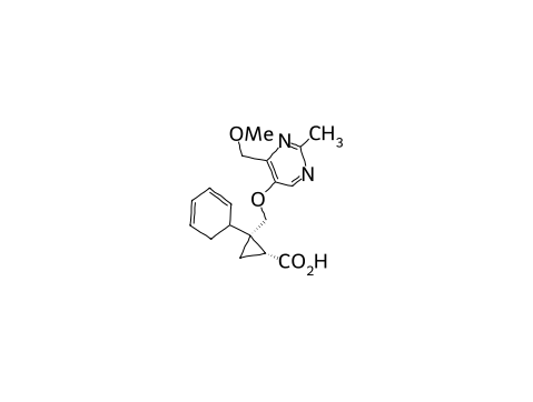 COCc1nc(C)ncc1OC[C@@]1(C2C=CC=CC2)C[C@H]1C(=O)O